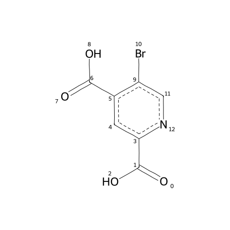 O=C(O)c1cc(C(=O)O)c(Br)cn1